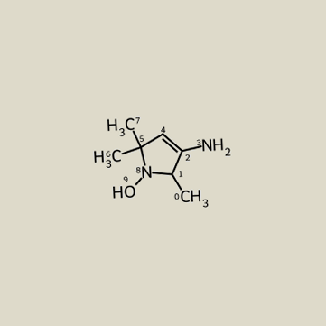 CC1C(N)=CC(C)(C)N1O